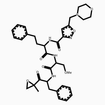 COCC(NC(=O)C(CCc1ccccc1)NC(=O)c1cc(CN2CCOCC2)on1)C(=O)NC(Cc1ccccc1)C(=O)C1(C)CO1